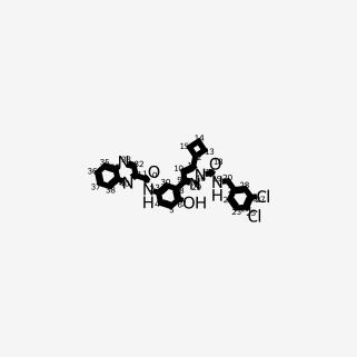 O=C(Nc1ccc(O)c(-c2cc(C3CCC3)n(C(=O)NCc3ccc(Cl)c(Cl)c3)n2)c1)c1cnc2ccccc2n1